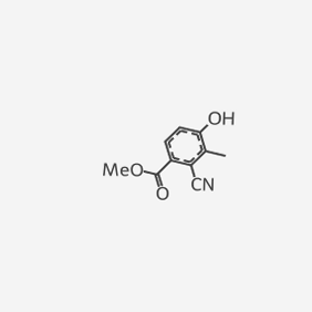 COC(=O)c1ccc(O)c(C)c1C#N